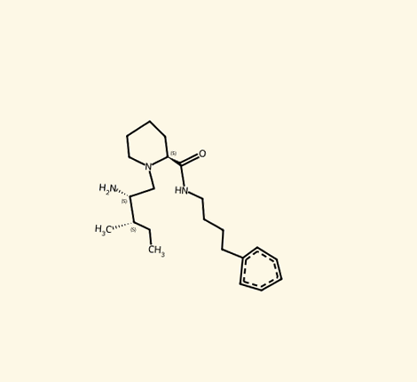 CC[C@H](C)[C@H](N)CN1CCCC[C@H]1C(=O)NCCCCc1ccccc1